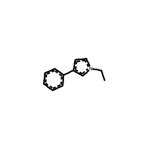 CCn1[c]cc(-c2ccccc2)c1